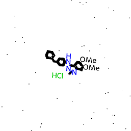 COc1cc2nc(C)nc(Nc3ccc(Cc4ccccc4)cc3)c2cc1OC.Cl